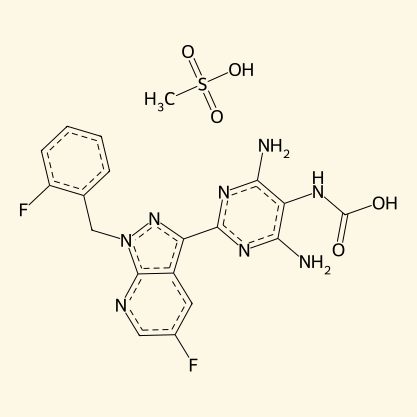 CS(=O)(=O)O.Nc1nc(-c2nn(Cc3ccccc3F)c3ncc(F)cc23)nc(N)c1NC(=O)O